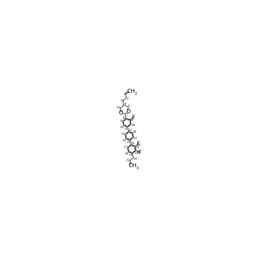 C=CCCC1COC(c2ccc(-c3ccc(-c4ccc(CCC)c(F)c4F)cc3)cc2F)OC1